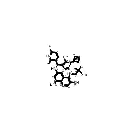 Cc1nc(F)ccc1[C@H](Nc1cc(C#N)c2ncc(C#N)c(NCC(C)(C)C(F)(F)F)c2c1)c1nnn(C23CC(C2)C3)c1F